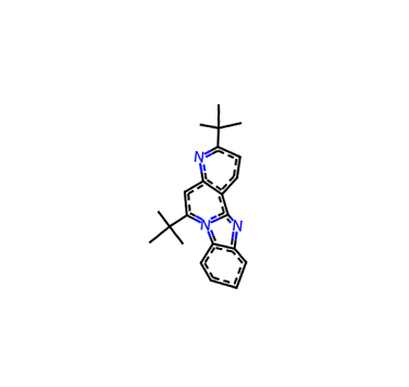 CC(C)(C)c1ccc2c(cc(C(C)(C)C)n3c4ccccc4nc23)n1